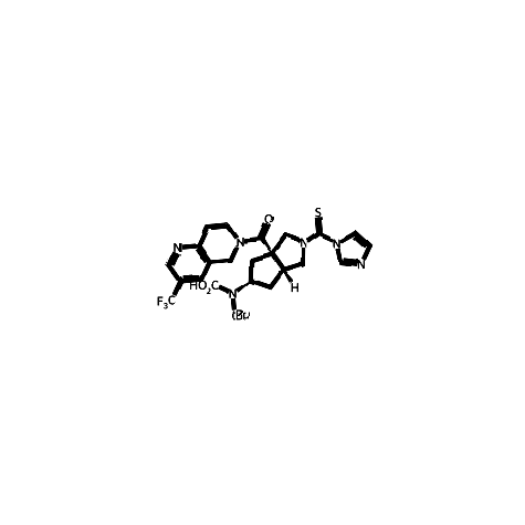 CC(C)(C)N(C(=O)O)[C@@H]1C[C@H]2CN(C(=S)n3ccnc3)C[C@@]2(C(=O)N2CCc3ncc(C(F)(F)F)cc3C2)C1